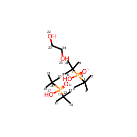 CC(C)(C)P(=O)(O)C(C)(C)C.CC(C)(C)P(=O)(O)C(C)(C)C.OCCO